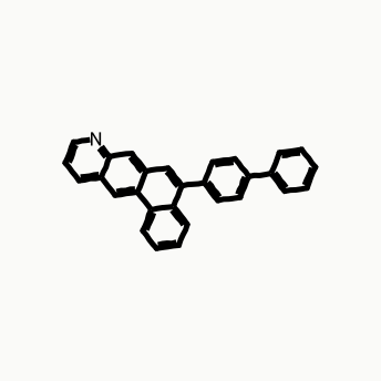 c1ccc(-c2ccc(-c3cc4cc5ncccc5cc4c4ccccc34)cc2)cc1